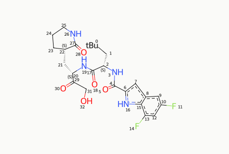 CC(C)(C)C[C@H](NC(=O)c1cc2cc(F)cc(F)c2[nH]1)C(=O)N[C@@H](C[C@@H]1CCCNC1=O)C(=O)CO